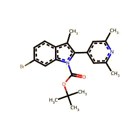 Cc1cc(-c2c(C)c3ccc(Br)cc3n2C(=O)OC(C)(C)C)cc(C)n1